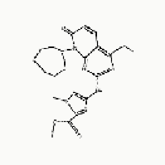 CCc1nc(Nc2cc(C(=O)OC)n(C)c2)nc2c1ccc(=O)n2C1CCCCCC1